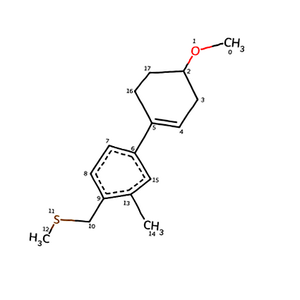 COC1CC=C(c2ccc(CSC)c(C)c2)CC1